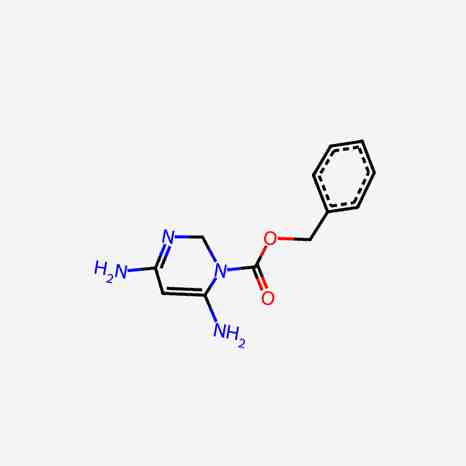 NC1=CC(N)=NCN1C(=O)OCc1ccccc1